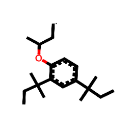 [CH2]CC(C)Oc1ccc(C(C)(C)CC)cc1C(C)(C)CC